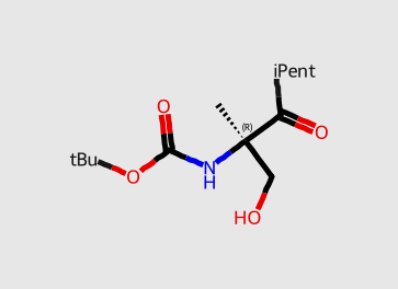 CCCC(C)C(=O)[C@@](C)(CO)NC(=O)OC(C)(C)C